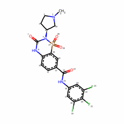 CN1CC[C@H](N2C(=O)Nc3ccc(C(=O)Nc4cc(F)c(F)c(F)c4)cc3S2(=O)=O)C1